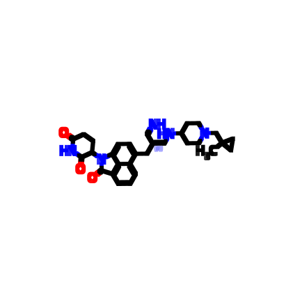 CC1(CN2CCC(N/C=C(\C=N)Cc3ccc4c5c(cccc35)C(=O)N4C3CCC(=O)NC3=O)CC2)CC1